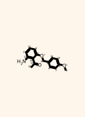 COc1ccc(COc2cccc(N)c2C(C)=O)cc1